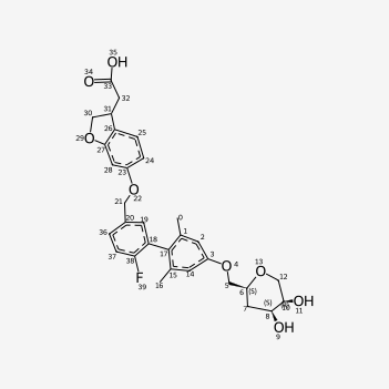 Cc1cc(OC[C@@H]2C[C@H](O)[C@H](O)CO2)cc(C)c1-c1cc(COc2ccc3c(c2)OCC3CC(=O)O)ccc1F